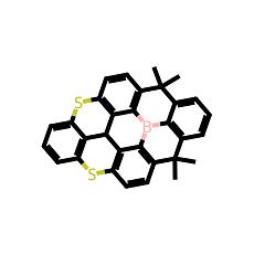 CC1(C)c2cccc3c2B2c4c1ccc1c4C4c5c(cccc5Sc5ccc(c2c54)C3(C)C)S1